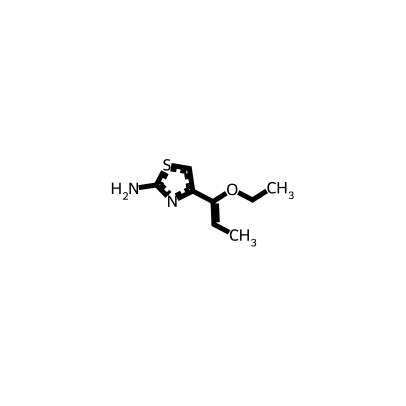 C/C=C(\OCC)c1csc(N)n1